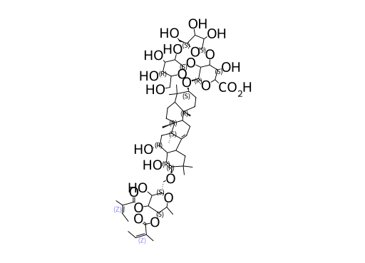 C/C=C(/C)C(=O)OC1C(O)[C@H](CO[C@H]2[C@H](O)C3C(CC2(C)C)C2=CCC4[C@@]5(C)CC[C@H](O[C@@H]6OC(C(=O)O)[C@@H](O)C(O[C@@H]7O[C@@H](CO)C(O)C7O)C6O[C@@H]6OC(CO)[C@H](O)C(O)C6O)C(C)(C)C5CC[C@@]4(C)[C@]2(C)C[C@H]3O)OC(C)[C@@H]1OC(=O)/C(C)=C\C